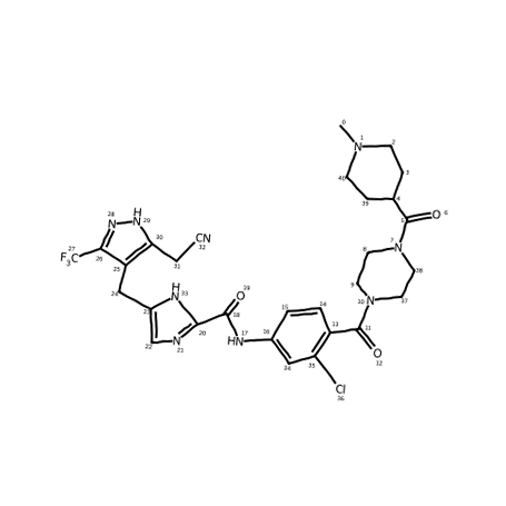 CN1CCC(C(=O)N2CCN(C(=O)c3ccc(NC(=O)c4ncc(Cc5c(C(F)(F)F)n[nH]c5CC#N)[nH]4)cc3Cl)CC2)CC1